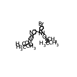 CC(C)(C)OC(=O)N1CCN(c2cc(-c3nn(COCC[Si](C)(C)C)c4ccc(Br)cc34)ccn2)CC1